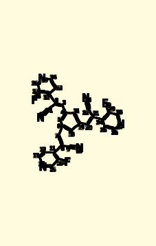 N#C/C(=C\c1cc(/C=C(\C#N)c2ccncc2F)cc(/C=C(\C#N)c2ccncc2F)c1)c1ccncc1F